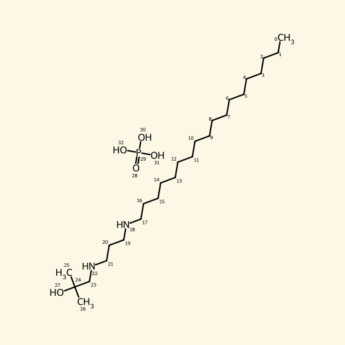 CCCCCCCCCCCCCCCCCCNCCCNCC(C)(C)O.O=P(O)(O)O